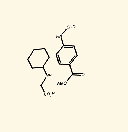 COC(=O)c1ccc(NC=O)cc1.O=C(O)CNC1CCCCC1